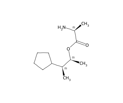 C[C@H](N)C(=O)O[C@@H](C)[C@@H](C)C1CCCC1